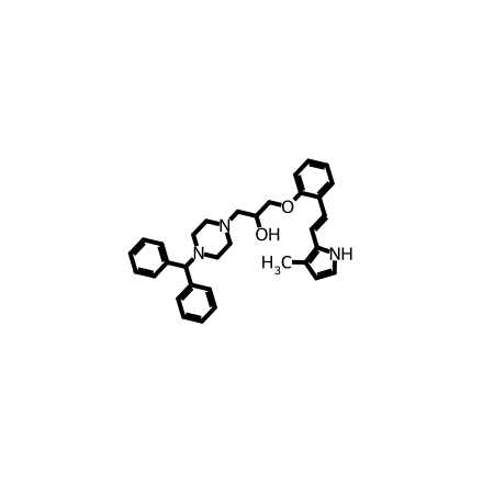 Cc1cc[nH]c1C=Cc1ccccc1OCC(O)CN1CCN(C(c2ccccc2)c2ccccc2)CC1